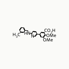 COc1cc(-c2ccc(NCc3cccc(C)c3)nc2)cc(C(=O)O)c1OC